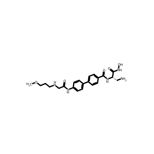 COCCCNCC(=O)Nc1ccc(-c2ccc(C(=O)N[C@@H](CN)C(=O)NO)cc2)cc1